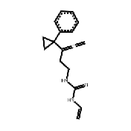 C=C=C(CCNC(=O)NC=C)C1(c2ccccc2)CC1